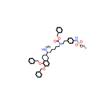 CCCN[C@@H](CCCCCN(CCc1ccc(NS(C)(=O)=O)cc1)C(=O)OCc1ccccc1)C1CCc2c(ccc(OCc3ccccc3)c2OCc2ccccc2)C1